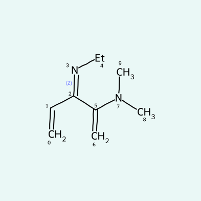 C=C/C(=N/CC)C(=C)N(C)C